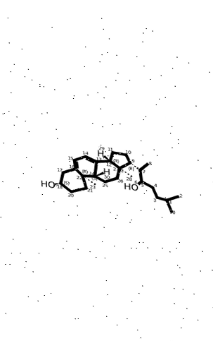 CC(C)CCC(O)C(C)[C@H]1CC[C@H]2C3=CC=C4C[C@@H](O)CC[C@]4(C)[C@H]3CC[C@]12C